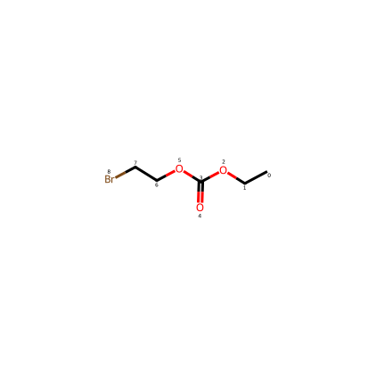 CCOC(=O)OCCBr